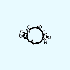 COc1cc2cc(c1Cl)N(C)C(=O)CCC1(C)OC1[C@H](C)C1CC(C/C=C/C=C(\C)C2)NC(=O)O1